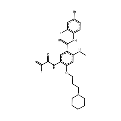 C=C(F)C(=O)Nc1cc(C(=N)Nc2ccc(Br)cc2F)c(NC)cc1OCCCN1CCOCC1